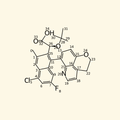 Cc1cc2c(Cl)cc(F)cc2c(-c2ccc3c4c(ccnc24)CCO3)c1[C@H](OC(C)(C)C)C(=O)O